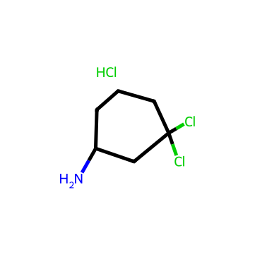 Cl.NC1CCCC(Cl)(Cl)C1